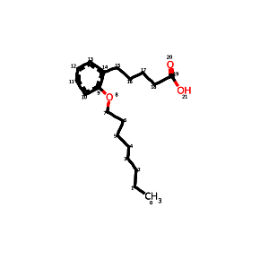 CCCCCCCCOc1ccccc1CCCCC(=O)O